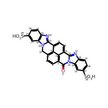 O=c1c2ccc3c4c(ccc(c42)c2nc4ccc(S(=O)(=O)O)cc4n12)-c1nc2ccc(S(=O)(=O)O)cc2n1C3